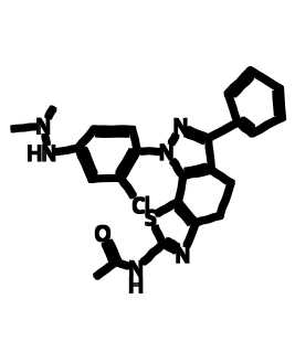 CC(=O)Nc1nc2c(s1)-c1c(c(-c3ccccc3)nn1-c1ccc(NN(C)C)cc1Cl)CC2